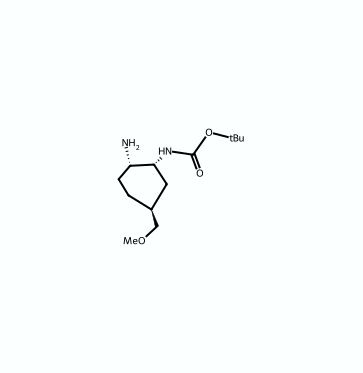 COC[C@H]1CC[C@H](N)[C@H](NC(=O)OC(C)(C)C)C1